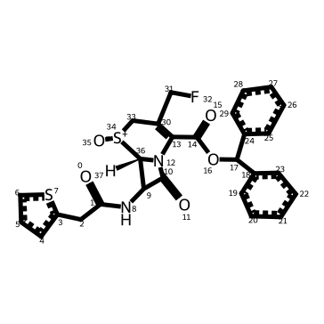 O=C(Cc1cccs1)NC1C(=O)N2C(C(=O)OC(c3ccccc3)c3ccccc3)=C(CF)C[S+]([O-])[C@@H]12